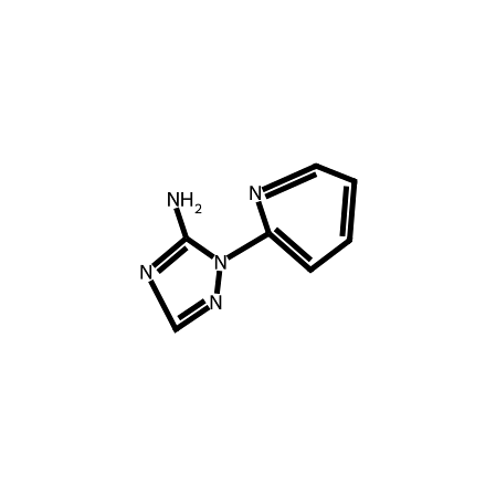 Nc1ncnn1-c1ccccn1